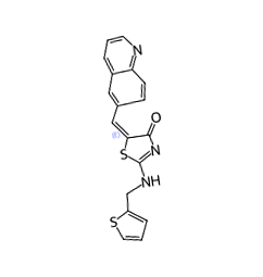 O=C1N=C(NCc2cccs2)S/C1=C/c1ccc2ncccc2c1